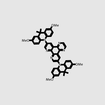 COc1ccc2c(c1)C(C)(C)c1cc(OC)ccc1N2c1cnc2c(c1)c1nccnc1c1cc(N3c4ccc(OC)cc4C(C)(C)c4cc(OC)ccc43)cnc12